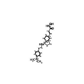 CN(C)c1ccc(CCNC2CCc3cc(/C=C/C(=O)NO)ccc32)cc1